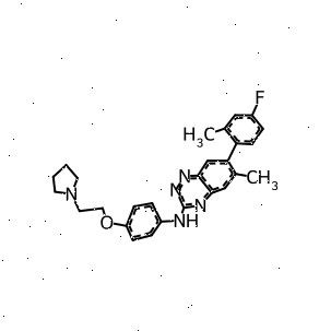 Cc1cc(F)ccc1-c1cc2nnc(Nc3ccc(OCCN4CCCC4)cc3)nc2cc1C